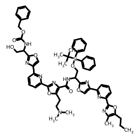 CCCc1oc(-c2cccc(-c3coc(C(CO[Si](c4ccccc4)(c4ccccc4)C(C)(C)C)NC(=O)c4nc(-c5cccc(-c6coc(C(CO)NC(=O)OCc7ccccc7)n6)n5)oc4CCN(C)C)n3)n2)nc1C